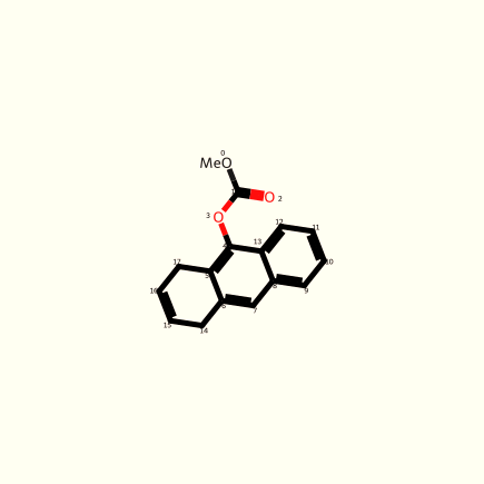 COC(=O)Oc1c2c(cc3ccccc13)CC=CC2